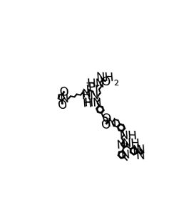 Cc1cccc(-c2nc(CNc3ccc4c(c3)CN(C(=O)OCc3ccc(NC[C@H](CCCNC(N)=O)NC[C@@H](NCCCCCCN5C(=O)C=CC5=O)C(C)C)cc3)CC4)[nH]c2-c2ccc3ncnn3c2)n1